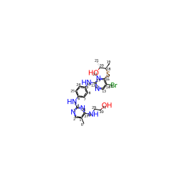 Cc1cnc(Nc2ccc(Nc3ncc(Br)c(S[C@H](C)[C@@H](C)O)n3)cc2)nc1NCCO